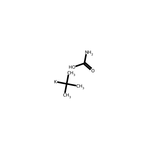 C[C](C)(C)[K].NC(=O)O